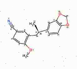 COc1ccc(C#N)cc1C[C@@H](C)c1ccc2c(c1)OCO2